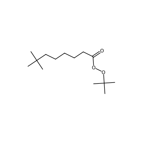 CC(C)(C)CCCCCC(=O)OOC(C)(C)C